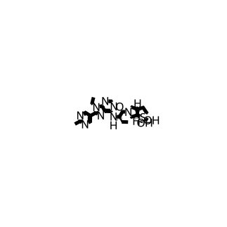 CC[C@@H](Nc1ncnc2c1nc(-c1cnc(C)nc1)n2CC)C(=O)N1C[C@H]2CCS(O)(O)[C@@H]2C1